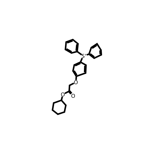 O=C(COc1ccc([S+](c2ccccc2)c2ccccc2)cc1)OC1CCCCC1